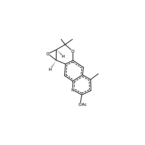 CC(=O)Oc1cc(C)c2cc3c(cc2n1)[C@H]1O[C@H]1C(C)(C)O3